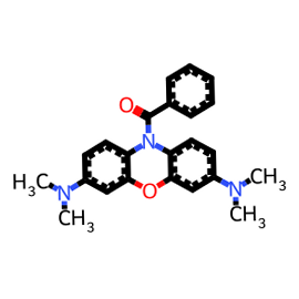 CN(C)c1ccc2c(c1)Oc1cc(N(C)C)ccc1N2C(=O)c1ccccc1